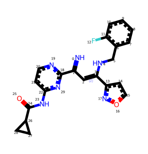 N=C(/C=C(\NCc1ccccc1F)c1ccon1)c1nccc(NC(=O)C2CC2)n1